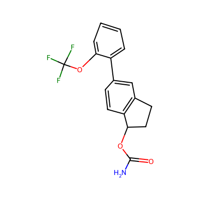 NC(=O)OC1CCc2cc(-c3ccccc3OC(F)(F)F)ccc21